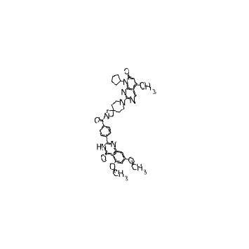 COc1cc(OC)c2c(=O)[nH]c(-c3ccc(C(=O)N4CC5(CCN(c6ncc7c(C)cc(=O)n(C8CCCC8)c7n6)CC5)C4)cc3)nc2c1